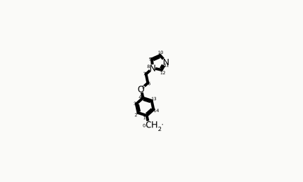 [CH2]c1ccc(OCCn2ccnc2)cc1